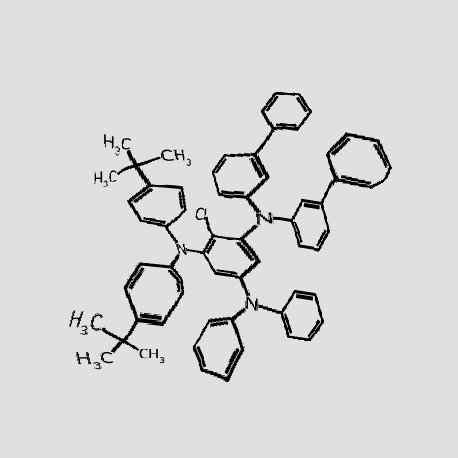 CC(C)(C)c1ccc(N(c2ccc(C(C)(C)C)cc2)c2cc(N(c3ccccc3)c3ccccc3)cc(N(c3cccc(-c4ccccc4)c3)c3cccc(-c4ccccc4)c3)c2Cl)cc1